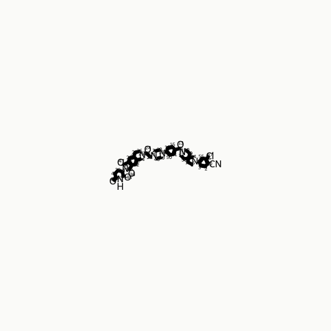 N#Cc1ccc(N2CCC3(CCN(C(=O)c4ccc(N5CCN(CC(=O)N6CCc7cc8c(cc7C6)C(=O)N(C6CCC(=O)NC6=O)C8=O)CC5)cc4)CC3)C2)cc1Cl